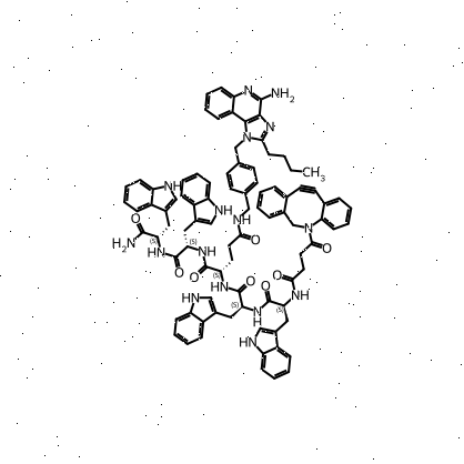 CCCCc1nc2c(N)nc3ccccc3c2n1Cc1ccc(CNC(=O)CC[C@H](NC(=O)[C@H](Cc2c[nH]c3ccccc23)NC(=O)[C@H](Cc2c[nH]c3ccccc23)NC(=O)CCC(=O)N2Cc3ccccc3C#Cc3ccccc32)C(=O)N[C@@H](Cc2c[nH]c3ccccc23)C(=O)N[C@@H](Cc2c[nH]c3ccccc23)C(N)=O)cc1